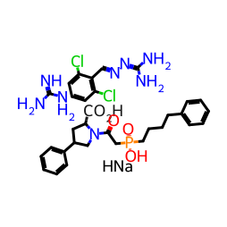 N=C(N)N.NC(N)=N/N=C/c1c(Cl)cccc1Cl.O=C(O)C1CC(c2ccccc2)CN1C(=O)CP(=O)(O)CCCCc1ccccc1.[NaH]